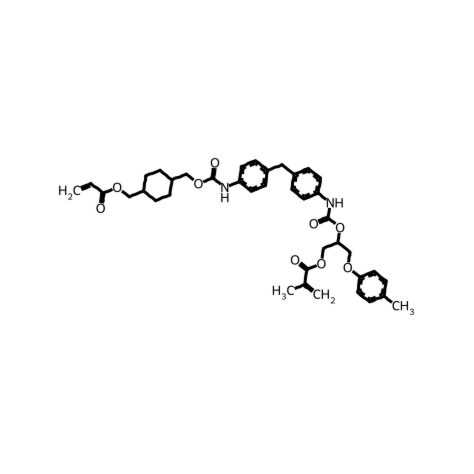 C=CC(=O)OCC1CCC(COC(=O)Nc2ccc(Cc3ccc(NC(=O)OC(COC(=O)C(=C)C)COc4ccc(C)cc4)cc3)cc2)CC1